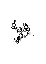 CN(C)C(=O)c1cc2n(n1)CCCN(c1nc(OC[C@@]34CCCN3C[C@H](F)C4)nc3c1CO[C@@]1(C3)C[C@@H]3C[C@@H]3c3ccc(N)cc31)C2.Cl